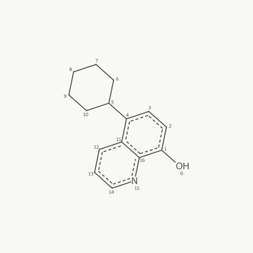 Oc1ccc(C2CCCCC2)c2cccnc12